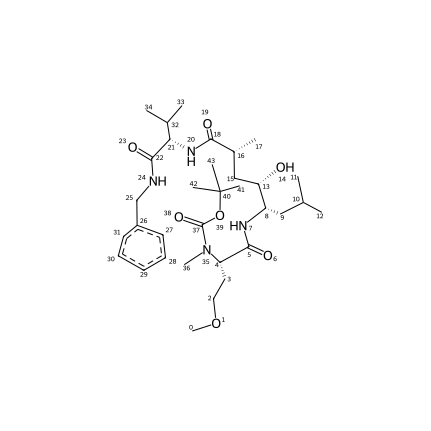 COCC[C@@H](C(=O)N[C@@H](CC(C)C)[C@@H](O)C[C@@H](C)C(=O)N[C@H](C(=O)NCc1ccccc1)C(C)C)N(C)C(=O)OC(C)(C)C